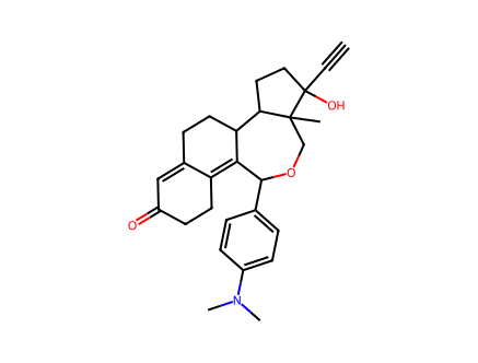 C#CC1(O)CCC2C3CCC4=CC(=O)CCC4=C3C(c3ccc(N(C)C)cc3)OCC21C